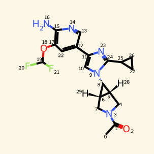 CC(=O)N1C[C@@H]2[C@H](C1)[C@@H]2n1cc(-c2cnc(N)c(OC(F)F)c2)nc1C1CC1